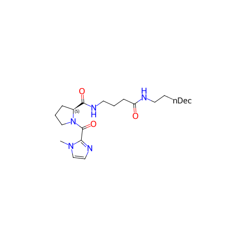 CCCCCCCCCCCCNC(=O)CCCNC(=O)[C@@H]1CCCN1C(=O)c1nccn1C